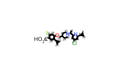 CC(c1cc(Cl)cc(C2CC2)n1)N1CCC(COc2cc(F)c(C(=O)O)cc2C2CC2)CC1